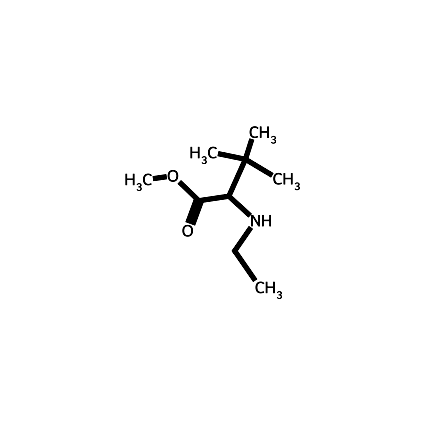 CCNC(C(=O)OC)C(C)(C)C